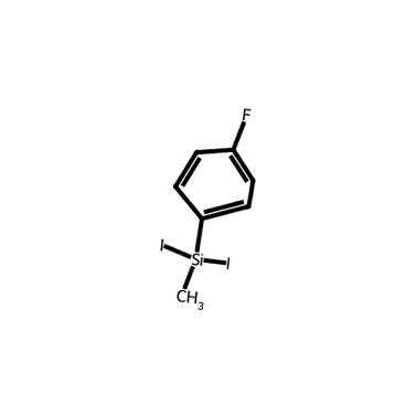 C[Si](I)(I)c1ccc(F)cc1